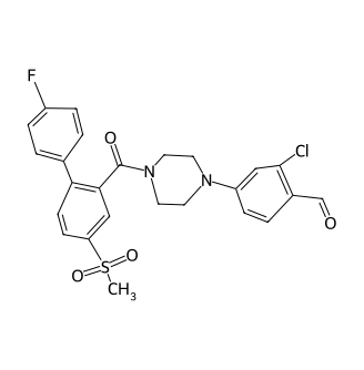 CS(=O)(=O)c1ccc(-c2ccc(F)cc2)c(C(=O)N2CCN(c3ccc(C=O)c(Cl)c3)CC2)c1